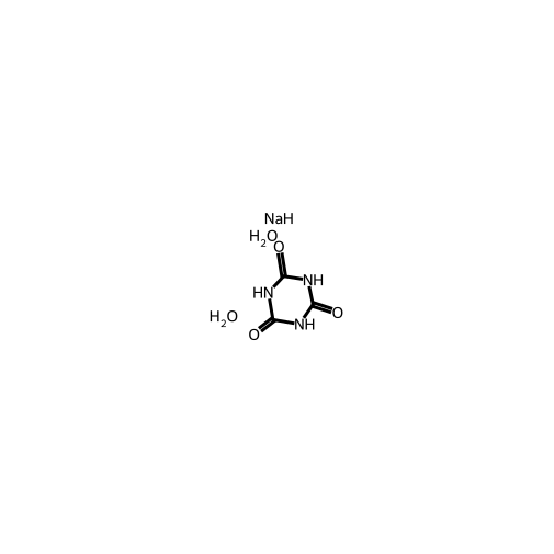 O.O.O=c1[nH]c(=O)[nH]c(=O)[nH]1.[NaH]